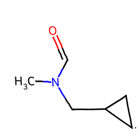 CN(C=O)CC1[CH]C1